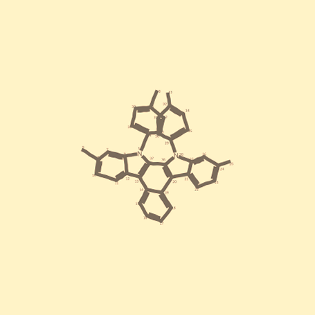 Cc1ccc(-n2c3cc(C)ccc3c3c4ccccc4c4c5ccc(C)cc5n(-c5ccc(C)cc5)c4c32)cc1